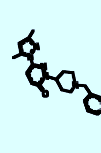 Cc1cc(C)n(-c2ccc(=O)n(C3CCN(Cc4cccnc4)CC3)n2)n1